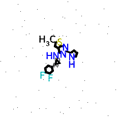 Cc1cc2c(N[C@H]3C[C@@H]3c3ccc(F)c(F)c3)nc(-c3ccc[nH]3)nc2s1